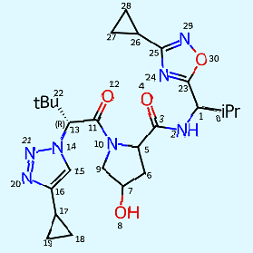 CC(C)C(NC(=O)C1CC(O)CN1C(=O)[C@H](n1cc(C2CC2)nn1)C(C)(C)C)c1nc(C2CC2)no1